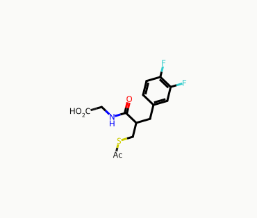 CC(=O)SCC(Cc1ccc(F)c(F)c1)C(=O)NCC(=O)O